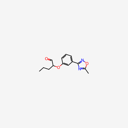 CCCC(C=O)Oc1cccc(-c2noc(C)n2)c1